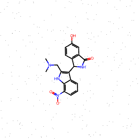 CN(C)Cc1[nH]c2c([N+](=O)[O-])cccc2c1C1NC(=O)c2cc(O)ccc21